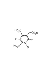 O=C(O)Cc1c(F)c(F)c(C(=O)O)c(F)c1C(=O)O